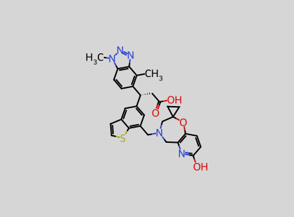 Cc1c([C@H](CC(=O)O)c2cc(CN3Cc4nc(O)ccc4OC4(CC4)C3)c3sccc3c2)ccc2c1nnn2C